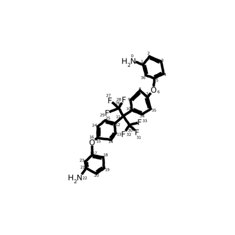 Nc1cccc(Oc2ccc(C(c3ccc(Oc4cccc(N)c4)cc3)(C(F)(F)F)C(F)(F)F)cc2)c1